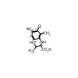 Cc1c(NC(C(=O)O)C(C)O)ccc(C#N)c1Cl